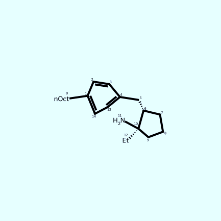 CCCCCCCCc1ccc(C[C@@H]2CCC[C@]2(N)CC)cc1